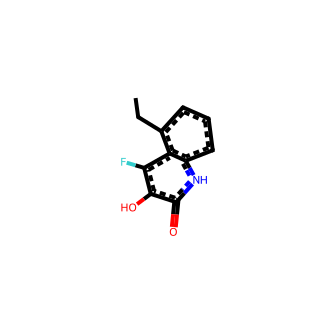 CCc1cccc2[nH]c(=O)c(O)c(F)c12